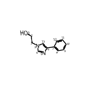 OCCn1cnc(-c2ccccc2)c1